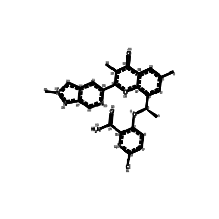 Cc1cc([C@@H](C)Oc2ccc(Cl)nc2C(N)=O)c2oc(-c3cc4cn(C)nc4cn3)c(C)c(=O)c2c1